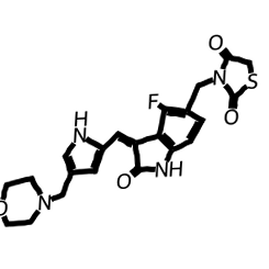 O=C1Nc2ccc(CN3C(=O)CSC3=O)c(F)c2/C1=C/c1cc(CN2CCOCC2)c[nH]1